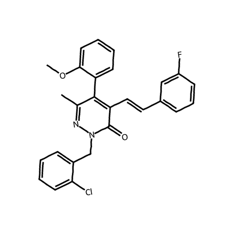 COc1ccccc1-c1c(C)nn(Cc2ccccc2Cl)c(=O)c1C=Cc1cccc(F)c1